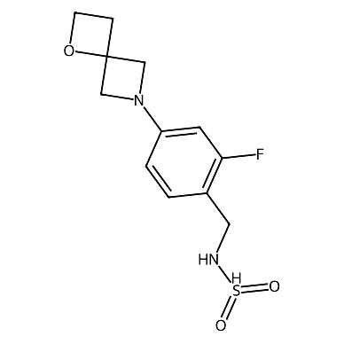 O=[SH](=O)NCc1ccc(N2CC3(CCO3)C2)cc1F